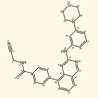 N#CCNC(=O)c1ccc(-c2cccc3cnc(Nc4cccc(N5CCOCC5)c4)nc23)cc1